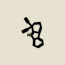 C#CC1(C#C)C=CC=C2C1=[SiH]c1ccccc12